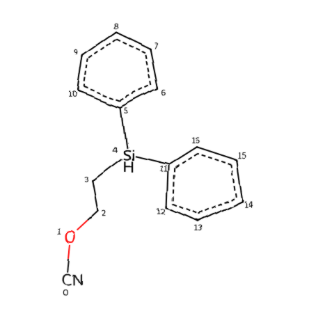 N#COCC[SiH](c1ccccc1)c1ccccc1